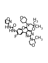 CC1COCCN1c1nc2c(c(-c3ccc(NC(=O)Nc4ccon4)c(F)c3)n1)C(=O)N(C1CCOCC1)CC(C)(C)O2